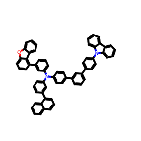 c1cc(-c2ccc(N(c3cccc(-c4cccc5ccccc45)c3)c3cccc(-c4cccc5oc6ccccc6c45)c3)cc2)cc(-c2ccc(-n3c4ccccc4c4ccccc43)cc2)c1